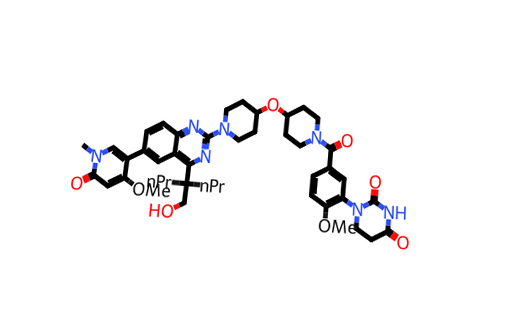 CCCC(CO)(CCC)c1nc(N2CCC(OC3CCN(C(=O)c4ccc(OC)c(N5CCC(=O)NC5=O)c4)CC3)CC2)nc2ccc(-c3cn(C)c(=O)cc3OC)cc12